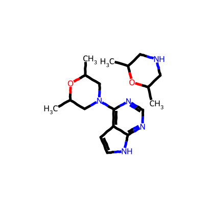 CC1CN(c2ncnc3[nH]ccc23)CC(C)O1.CC1CNCC(C)O1